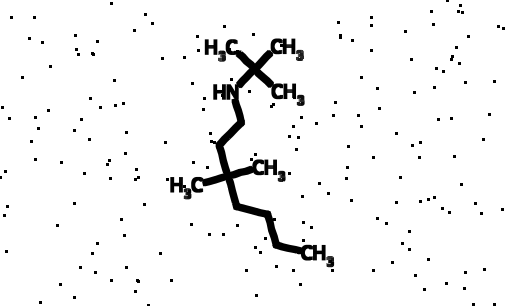 CCCCC(C)(C)CCNC(C)(C)C